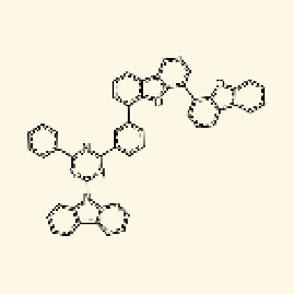 c1ccc(-c2nc(-c3cccc(-c4cccc5c4oc4c(-c6cccc7c6oc6ccccc67)cccc45)c3)nc(-n3c4ccccc4c4ccccc43)n2)cc1